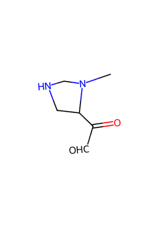 CN1CNCC1C(=O)C=O